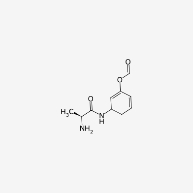 C[C@H](N)C(=O)NC1C=C(OC=O)C=CC1